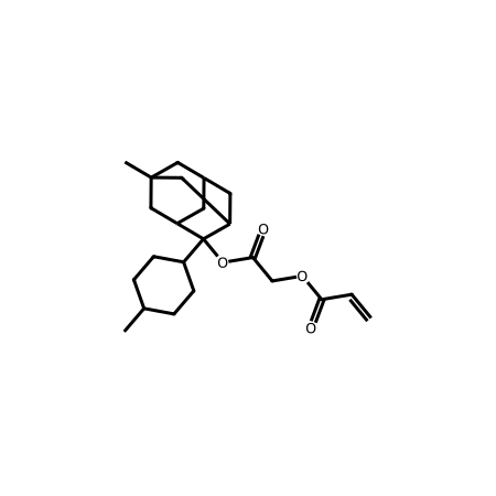 C=CC(=O)OCC(=O)OC1(C2CCC(C)CC2)C2CC3CC1CC(C)(C3)C2